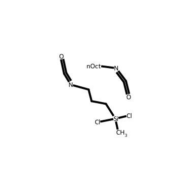 CCCCCCCCN=C=O.C[Si](Cl)(Cl)CCCN=C=O